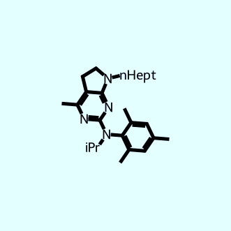 CCCCCCCN1CCc2c(C)nc(N(c3c(C)cc(C)cc3C)C(C)C)nc21